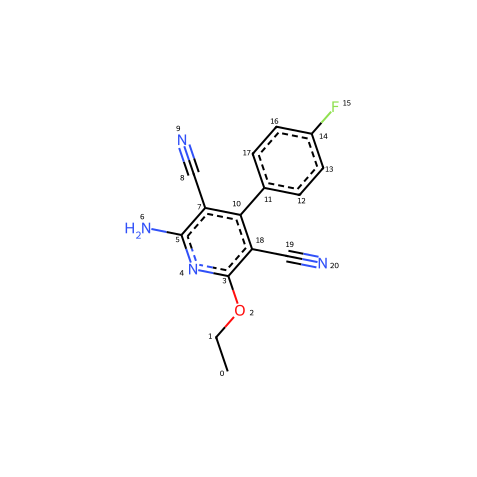 CCOc1nc(N)c(C#N)c(-c2ccc(F)cc2)c1C#N